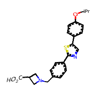 CC(C)Oc1ccc(-c2cnc(-c3ccc(CN4CC(C(=O)O)C4)cc3)s2)cc1